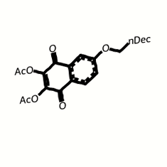 CCCCCCCCCCCOc1ccc2c(c1)C(=O)C(OC(C)=O)=C(OC(C)=O)C2=O